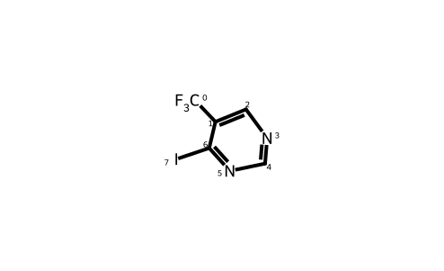 FC(F)(F)c1cncnc1I